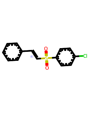 O=S(=O)(/C=C/c1ccccc1)c1ccc(Cl)cc1